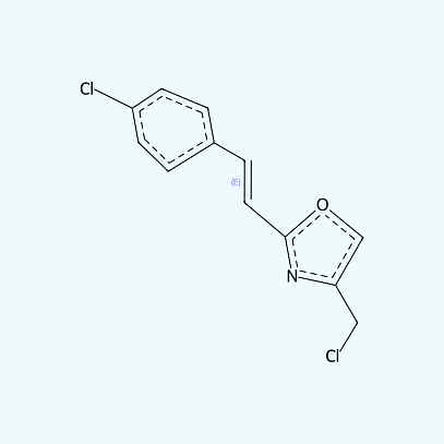 ClCc1coc(/C=C/c2ccc(Cl)cc2)n1